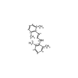 Cc1cccc(C)c1N=CNc1c(C)cccc1C